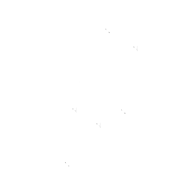 Nc1nc(-c2cnco2)nc2sc(Cc3cnccn3)cc12